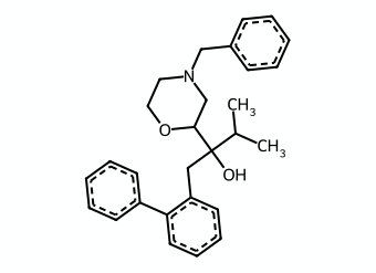 CC(C)C(O)(Cc1ccccc1-c1ccccc1)C1CN(Cc2ccccc2)CCO1